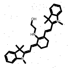 CN1/C(=C/C=C2\CCCC(/C=C/C3=[N+](C)c4ccccc4C3(C)C)=C2NCCO)C(C)(C)c2ccccc21